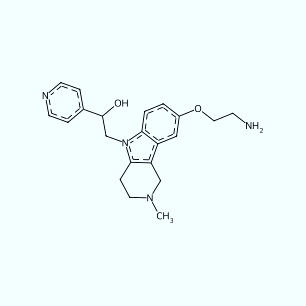 CN1CCc2c(c3cc(OCCN)ccc3n2CC(O)c2ccncc2)C1